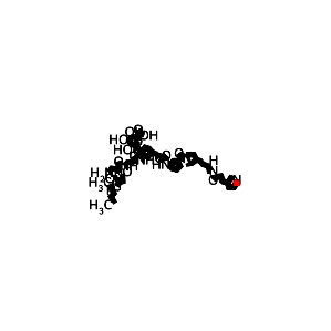 CCCCC(I)(CC)SC1CC(=O)N(C(CN)C(=O)NCCC(=O)Nc2cc(COC(=O)Nc3cccc(C(=O)N4CCC(CCCCNC(=O)/C=C/c5cccnc5)CC4)c3)ccc2OC2OC(C(=O)O)C(O)[C@H](O)[C@@H]2O)C1=O